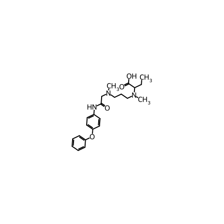 CCC(C(=O)O)N(C)CCCN(C)CC(=O)Nc1ccc(Oc2ccccc2)cc1